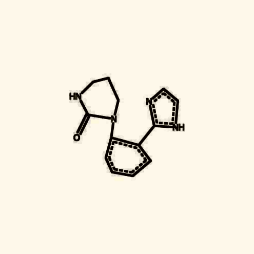 O=C1NCCCN1c1ccccc1-c1ncc[nH]1